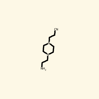 N#CCCN1CCN(CCN)CC1